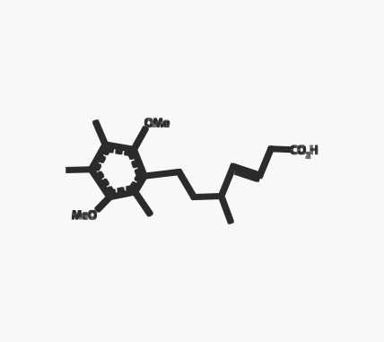 COc1c(C)c(C)c(OC)c(CCC(C)C=CCC(=O)O)c1C